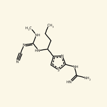 CCCC(N/C(=N\C#N)NC)c1csc(NC(=N)N)n1